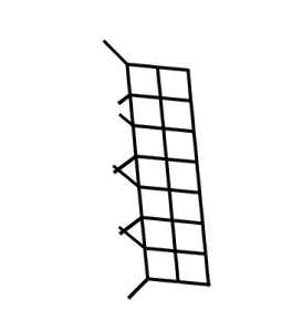 CC1C2CC3C4C5C6C7C8CC9C(C)C%10(C)C98C78C%10(C)C7(C)C9(C)C%10(C)C1(C)C23C4%10C59C678